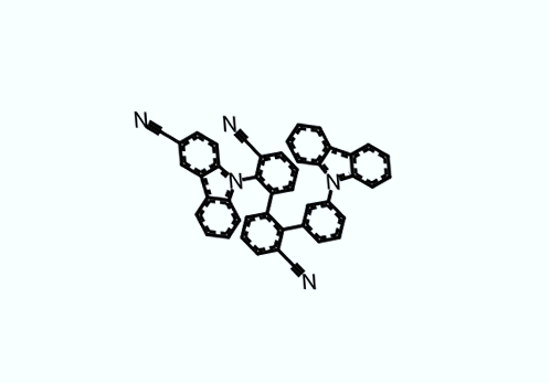 N#Cc1ccc2c(c1)c1ccccc1n2-c1c(C#N)cccc1-c1cccc(C#N)c1-c1cccc(-n2c3ccccc3c3ccccc32)c1